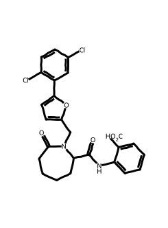 O=C(O)c1ccccc1NC(=O)C1CCCCC(=O)N1Cc1ccc(-c2cc(Cl)ccc2Cl)o1